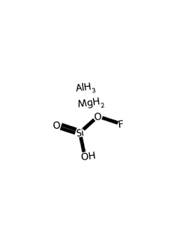 O=[Si](O)OF.[AlH3].[MgH2]